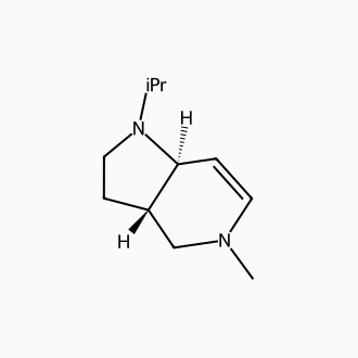 CC(C)N1CC[C@H]2CN(C)C=C[C@@H]21